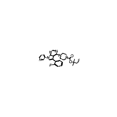 CC(C)(CF)OC(=O)N1CCN(c2ncnc3c2c(-c2ccccc2F)cn3-c2cccnc2)CC1